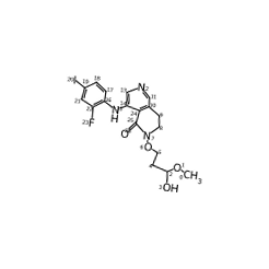 COC(O)CCON1CCc2cncc(Nc3ccc(I)cc3F)c2C1=O